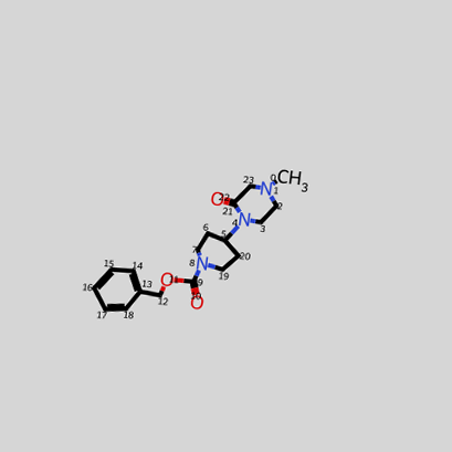 CN1CCN(C2CCN(C(=O)OCc3ccccc3)CC2)C(=O)C1